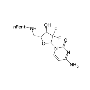 CCCCCNC[C@H]1O[C@@H](n2ccc(N)nc2=O)C(F)(F)[C@@H]1O